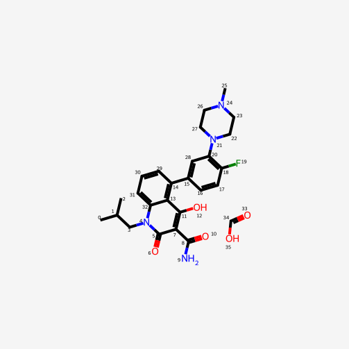 CC(C)Cn1c(=O)c(C(N)=O)c(O)c2c(-c3ccc(F)c(N4CCN(C)CC4)c3)cccc21.O=CO